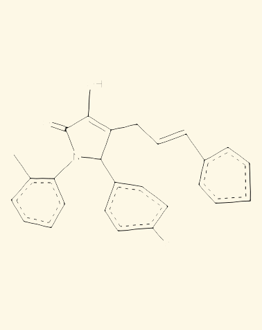 Cc1ccccc1N1C(=O)C(O)=C(C/C=C/c2ccccc2)C1c1ccc(Cl)cc1